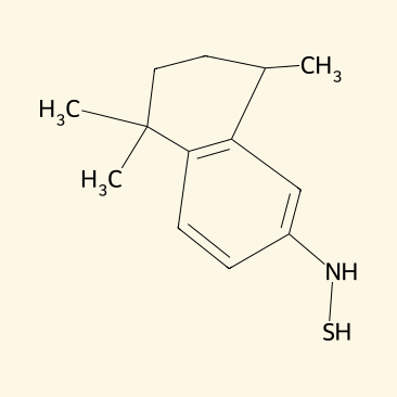 CC1CCC(C)(C)c2ccc(NS)cc21